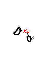 CCc1cccc(C(=O)OC(=O)c2ccccc2)c1